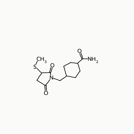 CSC1CC(=O)N(CC2CCC(C(N)=O)CC2)C1=O